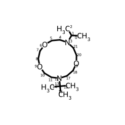 CC(C)N1CCOCCOCCN(C(C)(C)C)CCOCC1